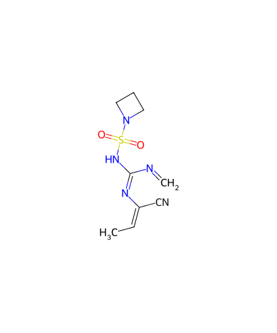 C=N/C(=N\C(C#N)=C/C)NS(=O)(=O)N1CCC1